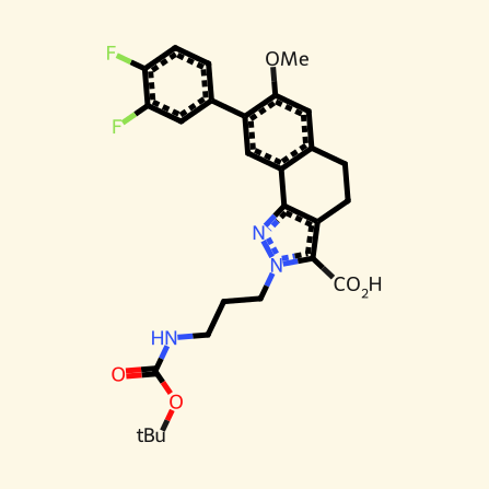 COc1cc2c(cc1-c1ccc(F)c(F)c1)-c1nn(CCCNC(=O)OC(C)(C)C)c(C(=O)O)c1CC2